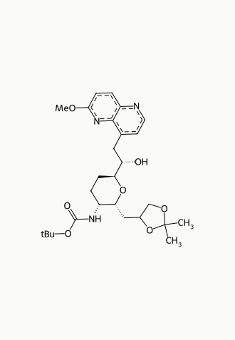 COc1ccc2nccc(C[C@H](O)[C@@H]3CC[C@@H](NC(=O)OC(C)(C)C)[C@@H](CC4COC(C)(C)O4)O3)c2n1